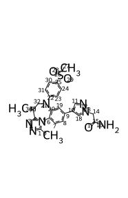 Cc1nnc2n1-c1ccc(-c3cnn(CC(N)=O)c3)cc1N(c1ccc(S(C)(=O)=O)cc1)C[C@H]2C